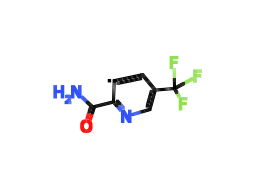 NC(=O)c1[c]cc(C(F)(F)F)cn1